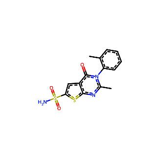 Cc1ccccc1-n1c(C)nc2sc(S(N)(=O)=O)cc2c1=O